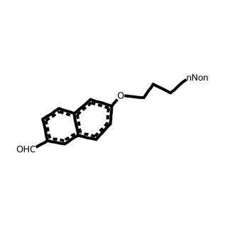 CCCCCCCCCCCCOc1ccc2cc(C=O)ccc2c1